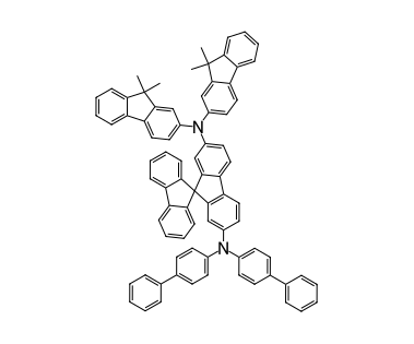 CC1(C)c2ccccc2-c2ccc(N(c3ccc4c(c3)C(C)(C)c3ccccc3-4)c3ccc4c(c3)C3(c5ccccc5-c5ccccc53)c3cc(N(c5ccc(-c6ccccc6)cc5)c5ccc(-c6ccccc6)cc5)ccc3-4)cc21